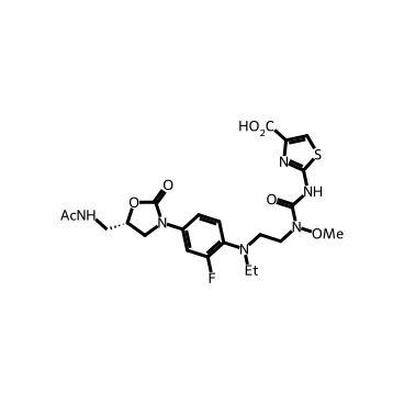 CCN(CCN(OC)C(=O)Nc1nc(C(=O)O)cs1)c1ccc(N2C[C@H](CNC(C)=O)OC2=O)cc1F